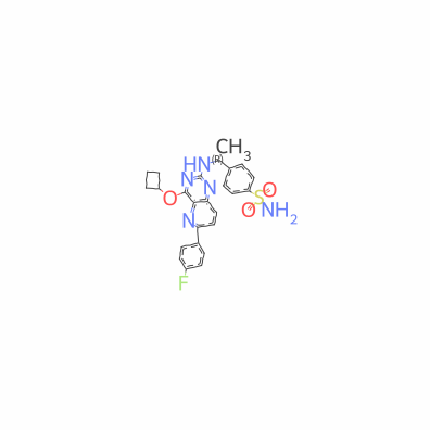 C[C@@H](Nc1nc(OC2CCC2)c2nc(-c3ccc(F)cc3)ccc2n1)c1ccc(S(N)(=O)=O)cc1